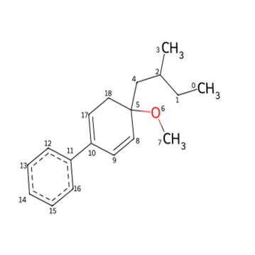 CCC(C)CC1(OC)C=CC(c2ccccc2)=CC1